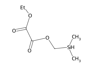 CCOC(=O)C(=O)OC[SiH](C)C